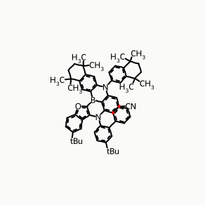 CC(C)(C)c1ccc(N2c3cc(C#N)cc4c3B(c3cc5c(cc3N4c3ccc4c(c3)C(C)(C)CCC4(C)C)C(C)(C)CCC5(C)C)c3oc4ccc(C(C)(C)C)cc4c32)c(-c2ccccc2)c1